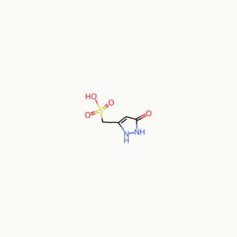 O=c1cc(CS(=O)(=O)O)[nH][nH]1